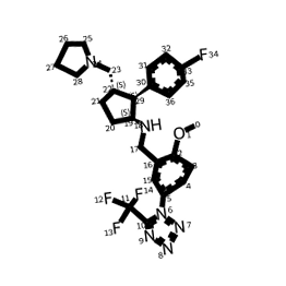 COc1ccc(-n2nnnc2C(F)(F)F)cc1CN[C@H]1CC[C@H](CN2CCCC2)[C@H]1c1ccc(F)cc1